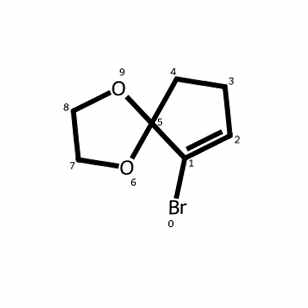 BrC1=CCCC12OCCO2